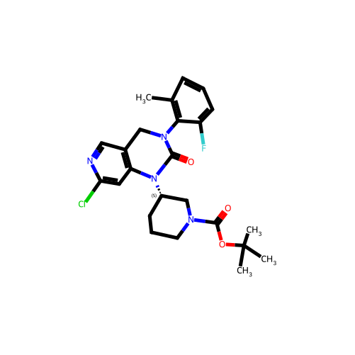 Cc1cccc(F)c1N1Cc2cnc(Cl)cc2N([C@H]2CCCN(C(=O)OC(C)(C)C)C2)C1=O